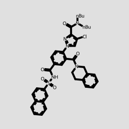 CCCCN(CCCC)C(=O)c1nn(-c2ccc(C(=O)NS(=O)(=O)c3ccc4ccccc4c3)cc2C(=O)N2CCc3ccccc3C2)cc1Cl